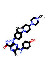 CCc1nc(C(N)=O)c(Nc2ccc(N3CCC(N4CCN(C)CC4)CC3)c(OC)c2)nc1NC1CCC(O)CC1